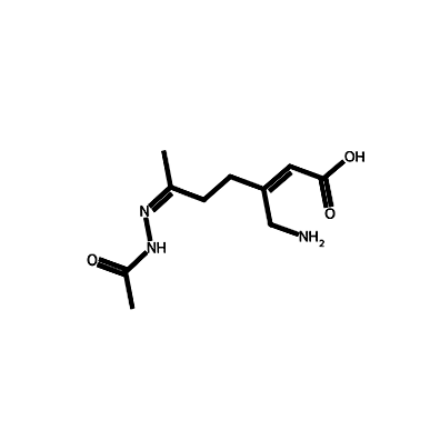 CC(=O)NN=C(C)CCC(=CC(=O)O)CN